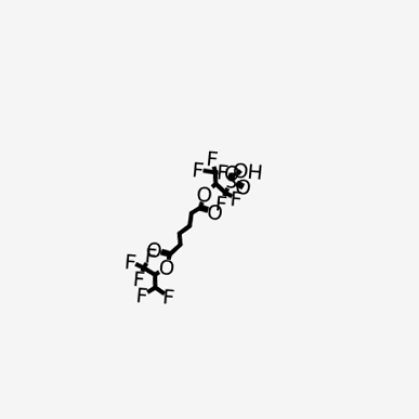 O=C(CCCCC(=O)OC(C(F)(F)F)C(F)(F)S(=O)(=O)O)OC(C(F)F)C(F)(F)F